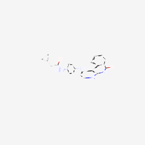 O=C(CC1CC1)Nc1ccc(Nc2ccnc3[nH]c(=O)c4ccccc4c23)cc1